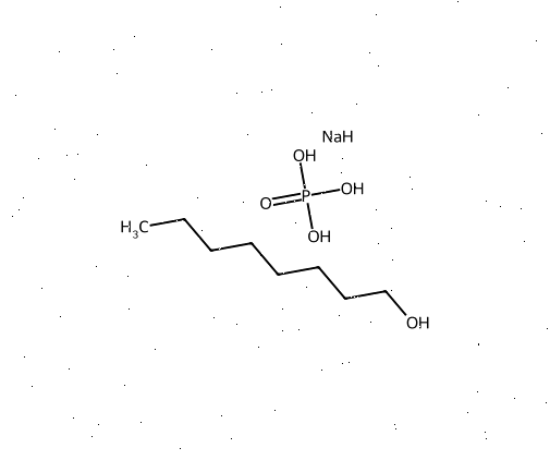 CCCCCCCCO.O=P(O)(O)O.[NaH]